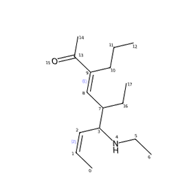 C/C=C\C(NCC)C(/C=C(\CCC)C(C)=O)CC